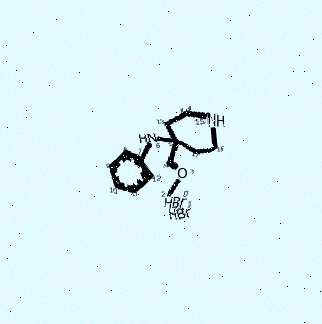 Br.Br.COCC1(Nc2ccccc2)CCNCC1